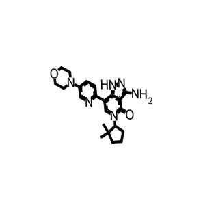 CC1(C)CCCC1n1cc(-c2ccc(N3CCOCC3)cn2)c2[nH]nc(N)c2c1=O